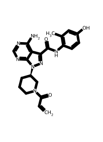 C=CC(=O)N1CCC[C@@H](n2nc(C(=O)Nc3ccc(O)cc3C)c3c(N)ncnc32)C1